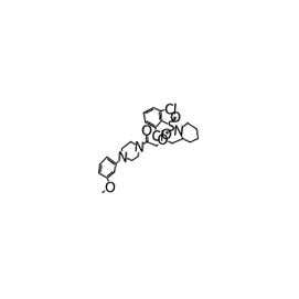 COc1cccc(N2CCN(C(=O)COCC3CCCCN3S(=O)(=O)c3c(Cl)cccc3Cl)CC2)c1